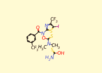 CN(C)C(=S)ON(C(=O)c1cccc(C(F)(F)F)c1)c1nc(C(F)(F)F)c(I)s1.NC(O)=S